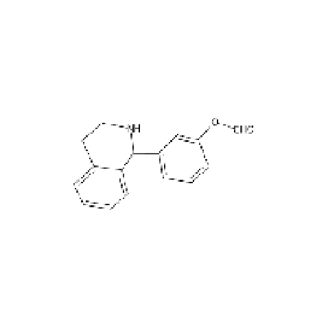 O=COc1cccc(C2NCCc3ccccc32)c1